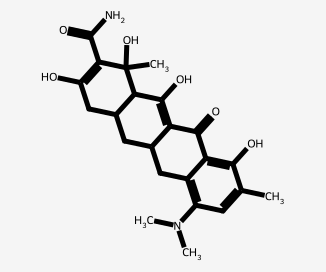 Cc1cc(N(C)C)c2c(c1O)C(=O)C1=C(O)C3C(CC(O)=C(C(N)=O)C3(C)O)CC1C2